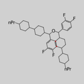 CCCC1CCC(C2CCC(C(OC(c3ccc(F)c(F)c3)C3CCC(C4CCC(CCC)CC4)CC3)c3ccc(F)c(F)c3)CC2)CC1